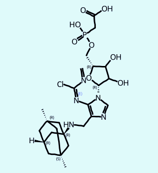 C=N/C(Cl)=N\c1c(CN[C@@]23C[C@@H]4C[C@@](C)(C[C@@](C)(C4)C2)C3)ncn1[C@@H]1O[C@H](COP(=O)(O)CC(=O)O)C(O)C1O